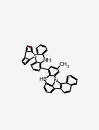 Cc1cc(-c2cccc3c2Nc2ccccc2S32c3ccccc3-c3ccccc32)c2c(c1)-n1c3c(cccc3c3ccc4ccccc4c31)B2